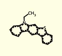 CCn1c2ccccc2c2cc3c(cc21)sc1ccccc13